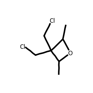 CC1OC(C)C1(CCl)CCl